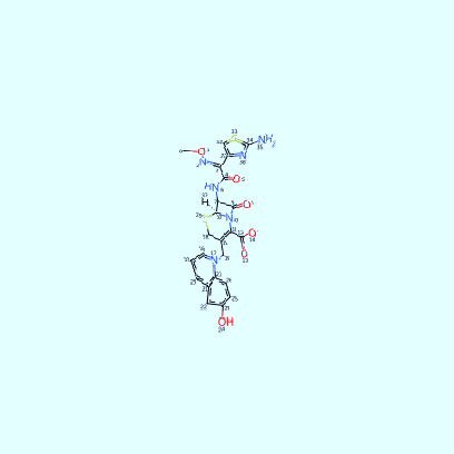 CON=C(C(=O)NC1C(=O)N2C(C(=O)[O-])=C(C[n+]3cccc4cc(O)ccc43)CS[C@@H]12)c1csc(N)n1